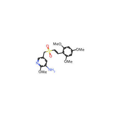 COc1cc(OC)c(C=CS(=O)(=O)Cc2cnc(OC)c(N)c2)c(OC)c1